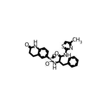 Cc1csc(NC(=O)C(Cc2ccccc2)NS(=O)(=O)c2ccc3c(c2)CCC(=O)N3)n1